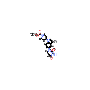 CCc1cn(C2CCN(C(=O)OC(C)(C)C)CC2)c2ccc(N3CCC(=O)NC3=O)cc12